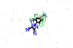 N#Cc1nc(-c2c(Cl)c(Cl)c(SC(F)(F)F)c(Cl)c2Cl)[nH]c1C#N